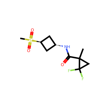 CC1(C(=O)N[C@H]2C[C@H](S(C)(=O)=O)C2)CC1(F)F